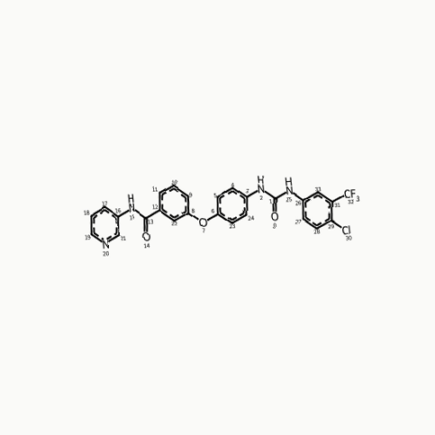 O=C(Nc1ccc(Oc2cccc(C(=O)Nc3cccnc3)c2)cc1)Nc1ccc(Cl)c(C(F)(F)F)c1